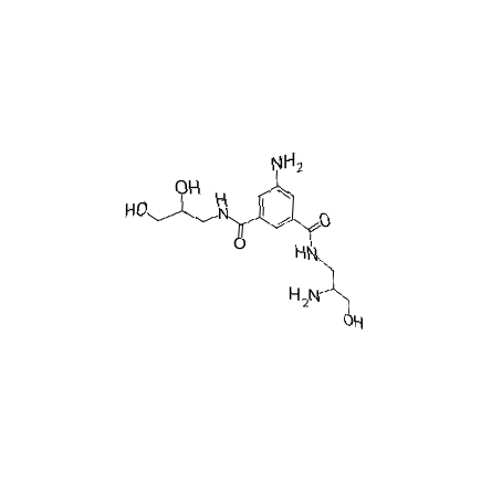 Nc1cc(C(=O)NCC(N)CO)cc(C(=O)NCC(O)CO)c1